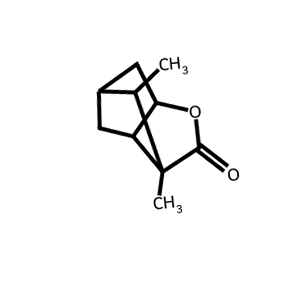 CC1C2CC3OC(=O)C1(C)C3C2